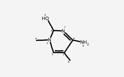 CC1=CN(C)C(O)N=C1N